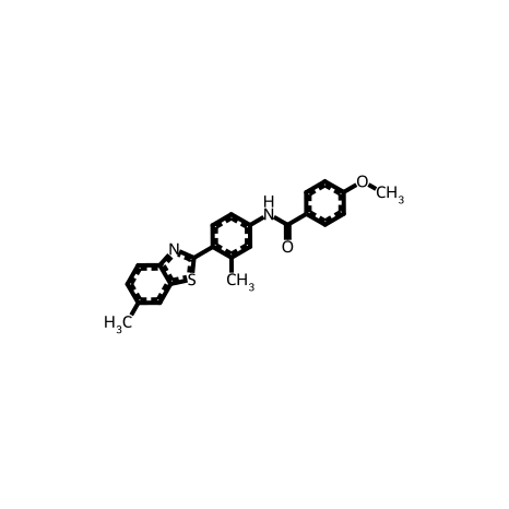 COc1ccc(C(=O)Nc2ccc(-c3nc4ccc(C)cc4s3)c(C)c2)cc1